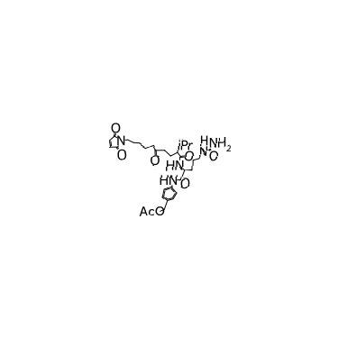 CC(=O)OCc1ccc(NC(=O)[C@H](CCCNC(N)=O)NC(=O)[C@@H](CCC(=O)CCCCCN2C(=O)C=CC2=O)C(C)C)cc1